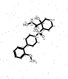 COc1ccccc1C1CCN(S(=O)(=O)C2CCOCC2(O)C(=O)NO)CC1